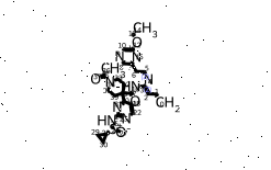 C=C/C=C(\N=C/Cc1cncc(OCC)n1)NC(=O)C1(c2ccnc(N[S+]([O-])C3CC3)n2)CCN(C(C)=O)CC1